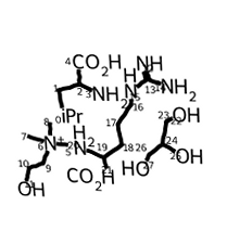 CC(C)CC(N)C(=O)O.C[N+](C)(C)CCO.N=C(N)NCCCC(N)C(=O)O.OCC(O)CO